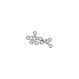 Nc1ccccc1/C(=N\Cc1ccc(-c2ccc3c(c2)C2(c4ccccc4-3)c3cc4ccccc4cc3N(c3ccccc3)c3cc4ccccc4cc32)cc1)c1ccccc1